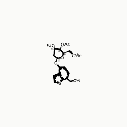 CC(=O)OC[C@H]1O[C@@H](Oc2ccc(CO)c3sccc23)C[C@@H](OC(C)=O)[C@H]1OC(C)=O